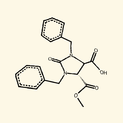 COC(=O)[C@H]1C(C(=O)O)N(Cc2ccccc2)C(=O)N1Cc1ccccc1